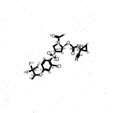 CC(=O)N1C[C@H](S(=O)(=O)c2ccc(OC(C)C(F)(F)F)cc2Cl)C[C@@H]1OC(=O)NC1(C#N)CC1